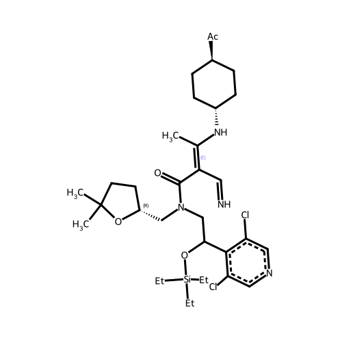 CC[Si](CC)(CC)OC(CN(C[C@H]1CCC(C)(C)O1)C(=O)/C(C=N)=C(\C)N[C@H]1CC[C@H](C(C)=O)CC1)c1c(Cl)cncc1Cl